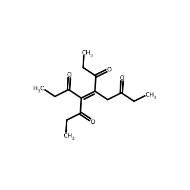 CCC(=O)CC(C(=O)CC)=C(C(=O)CC)C(=O)CC